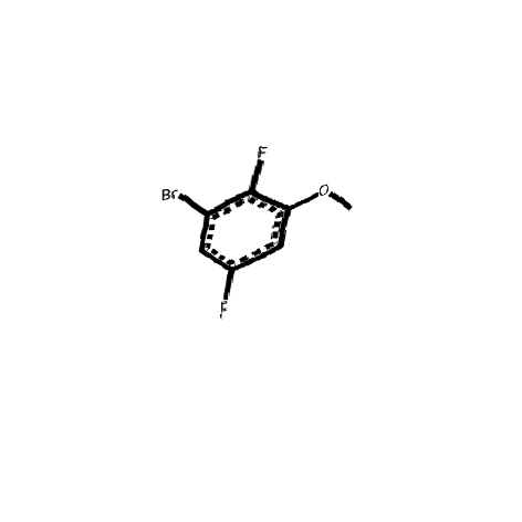 COc1cc(F)cc(Br)c1F